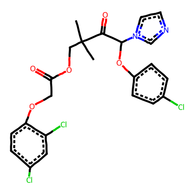 CC(C)(COC(=O)COc1ccc(Cl)cc1Cl)C(=O)C(Oc1ccc(Cl)cc1)n1ccnc1